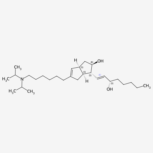 CCCCC[C@H](O)/C=C/[C@@H]1[C@H]2CC(CCCCCCN(C(C)C)C(C)C)=C[C@H]2C[C@H]1O